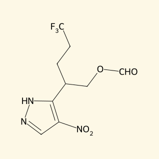 O=COCC(CCC(F)(F)F)c1[nH]ncc1[N+](=O)[O-]